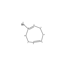 [Rh][C]1=CCCC=CCC1